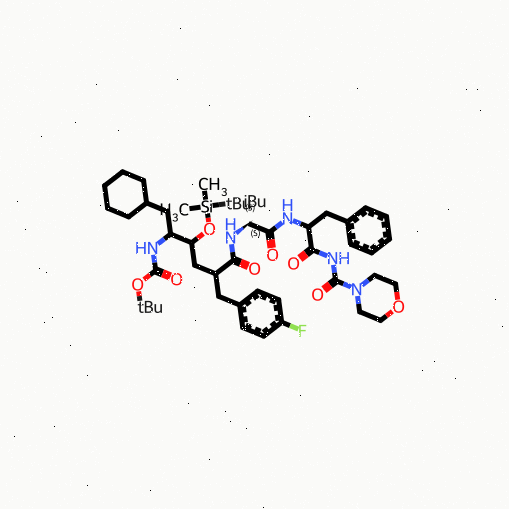 CC[C@H](C)[C@H](NC(=O)C(Cc1ccc(F)cc1)CC(O[Si](C)(C)C(C)(C)C)C(CC1CCCCC1)NC(=O)OC(C)(C)C)C(=O)NC(Cc1ccccc1)C(=O)NC(=O)N1CCOCC1